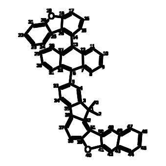 CC1(C)c2cc(-c3c4ccccc4c(-c4cccc5oc6ccccc6c45)c4ccccc34)ccc2-c2ccc3oc4cc5ccccc5cc4c3c21